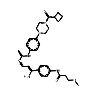 C=C(/N=C\C=C(/N)c1ccc(NC(=O)CCOC)cc1)Nc1ccc(N2CCN(C(=O)C3CCC3)CC2)cc1